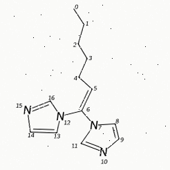 CCCCCC=C(n1ccnc1)n1ccnc1